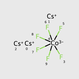 [Cs+].[Cs+].[Cs+].[F][Co-3]([F])([F])([F])([F])[F]